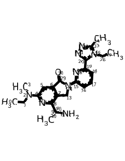 CCN(C)c1cc2c(c([C@@H](C)N)n1)CN(c1cccc(-c3nnc(C)n3CC)n1)C2=O